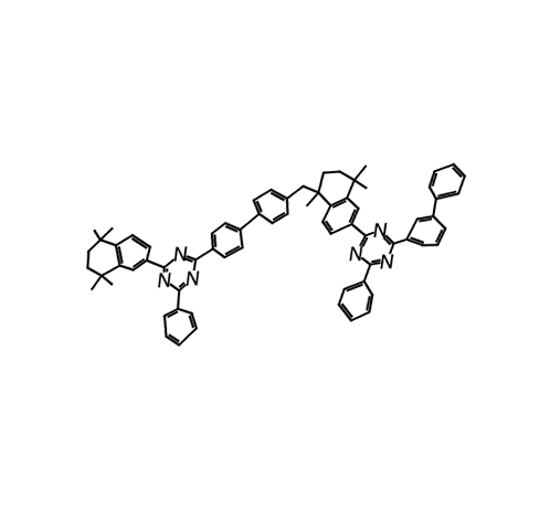 CC1(C)CCC(C)(C)c2cc(-c3nc(-c4ccccc4)nc(-c4ccc(-c5ccc(CC6(C)CCC(C)(C)c7cc(-c8nc(-c9ccccc9)nc(-c9cccc(-c%10ccccc%10)c9)n8)ccc76)cc5)cc4)n3)ccc21